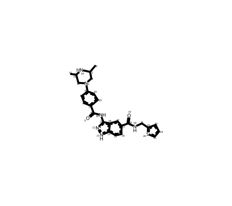 CC1CN(c2ccc(C(=O)Nc3n[nH]c4ccc(C(=O)NCc5cccs5)cc34)cc2)CC(C)N1